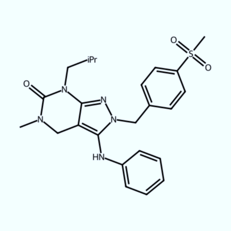 CC(C)CN1C(=O)N(C)Cc2c1nn(Cc1ccc(S(C)(=O)=O)cc1)c2Nc1ccccc1